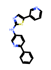 c1ccc(-c2ccc(Nc3ncc(-c4cccnc4)s3)cn2)cc1